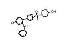 O=S(=O)(c1[c]cc(-c2ccc(Cl)cc2Nc2ccccc2)cc1)N1CCC(O)CC1